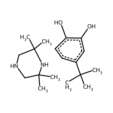 CC(C)(C)c1ccc(O)c(O)c1.CC1(C)CNCC(C)(C)N1